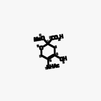 COC1(C(=O)O)CC(O)=C(NC(C)=O)CO1